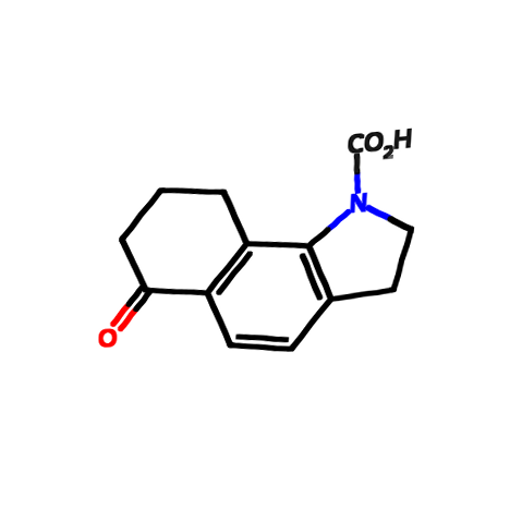 O=C1CCCc2c1ccc1c2N(C(=O)O)CC1